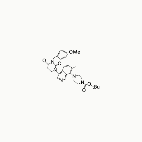 COc1ccc(CN2C(=O)CCN(c3cncc4c(N5CCN(C(=O)OC(C)(C)C)CC5)c(C)ccc34)C2=O)cc1